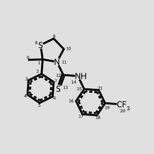 CC1(c2ccccc2)SCCN1C(=S)Nc1cccc(C(F)(F)F)c1